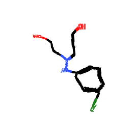 OCCN(CCO)Nc1cccc(Cl)c1